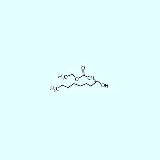 CCCCCCCCO.CCOC(C)=O